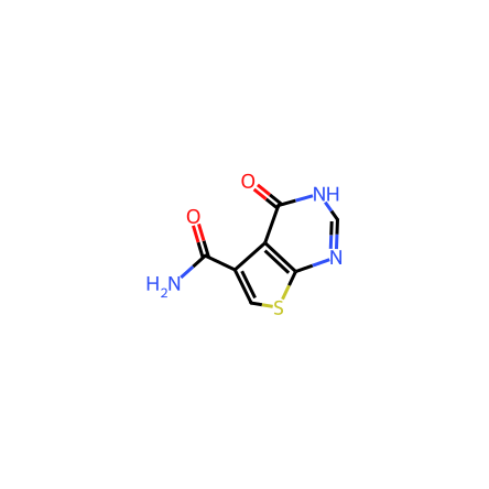 NC(=O)c1csc2nc[nH]c(=O)c12